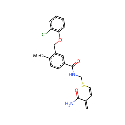 C=C(/C=C\SCNC(=O)c1ccc(OC)c(COc2ccccc2Cl)c1)C(N)=O